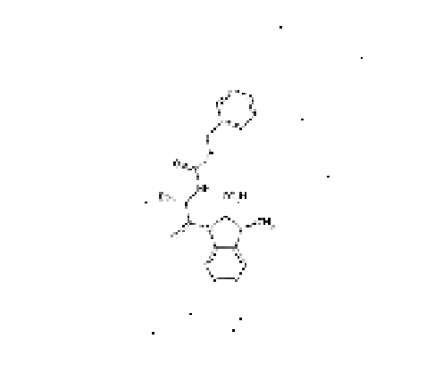 CC[C@H](NC(=O)OCc1ccccc1)C(=O)N1c2ccccc2[C@H](C)[C@H]1C(=O)O